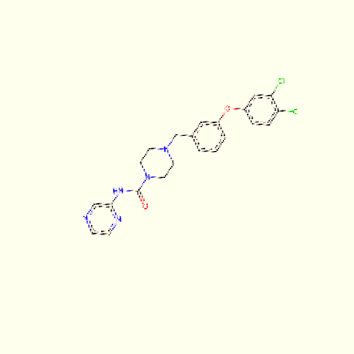 O=C(Nc1cnccn1)N1CCN(Cc2cccc(Oc3ccc(Cl)c(Cl)c3)c2)CC1